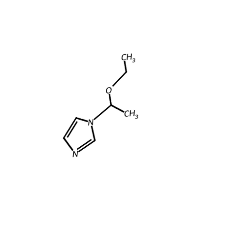 CCOC(C)n1ccnc1